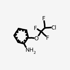 Nc1ccccc1OC(F)(F)C(F)Cl